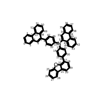 c1ccc2c(c1)cc(-c1ccc(N(c3ccc(-c4cccc5c4oc4ccccc45)cc3)c3cc4ccccc4c4ccccc34)cc1)c1ccccc12